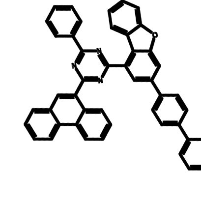 c1ccc(-c2ccc(-c3cc(-c4nc(-c5ccccc5)nc(-c5cc6ccccc6c6ccccc56)n4)c4c(c3)oc3ccccc34)cc2)cc1